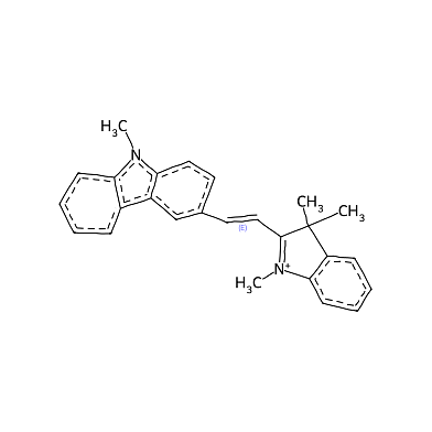 Cn1c2ccccc2c2cc(/C=C/C3=[N+](C)c4ccccc4C3(C)C)ccc21